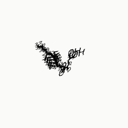 C=C(CCC(CO)CO)C(=O)OCCCC(F)(F)C(F)(F)C(F)(F)C(F)(F)CCCCCCC